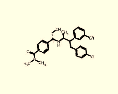 CC(N[C@@H](CC#N)c1ccc(C(=O)N(C)C)cc1)C(Cc1ccc(Cl)cc1)c1cccc(C#N)c1